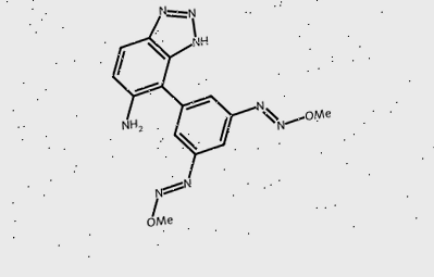 CON=Nc1cc(N=NOC)cc(-c2c(N)ccc3nn[nH]c23)c1